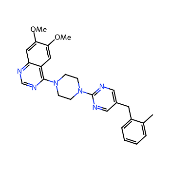 COc1cc2ncnc(N3CCN(c4ncc(Cc5ccccc5C)cn4)CC3)c2cc1OC